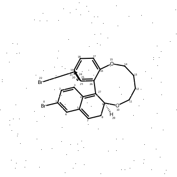 Brc1ccc2c(c1)=CC[C@@H]1OCCCCOc3ccc4cc(Br)ccc4c3C=21